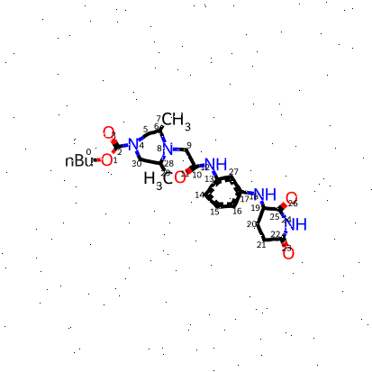 CCCCOC(=O)N1CC(C)N(CC(=O)Nc2cccc(NC3CCC(=O)NC3=O)c2)C(C)C1